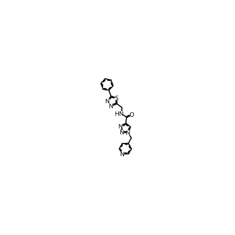 O=C(NCc1nnc(-c2ccccc2)s1)c1cn(Cc2ccncc2)nn1